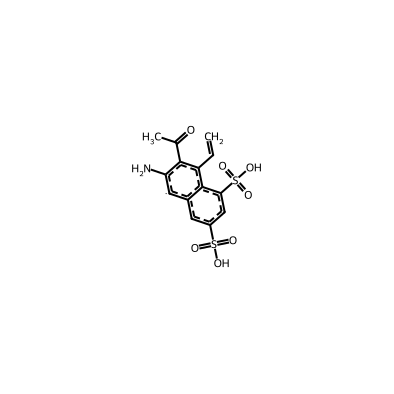 C=Cc1c(C(C)=O)c(N)[c]c2cc(S(=O)(=O)O)cc(S(=O)(=O)O)c12